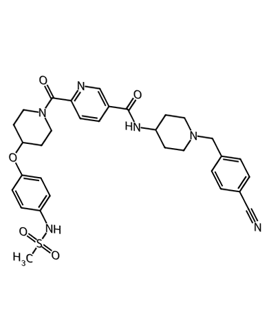 CS(=O)(=O)Nc1ccc(OC2CCN(C(=O)c3ccc(C(=O)NC4CCN(Cc5ccc(C#N)cc5)CC4)cn3)CC2)cc1